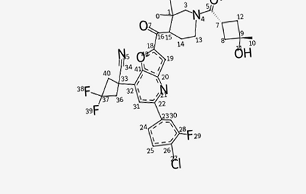 CC1(C)CN(C(=O)[C@H]2C[C@@](C)(O)C2)CCC1C(=O)c1cc2nc(-c3ccc(Cl)c(F)c3)cc(C3(C#N)CC(F)(F)C3)c2o1